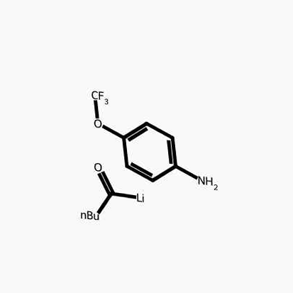 Nc1ccc(OC(F)(F)F)cc1.[Li][C](=O)CCCC